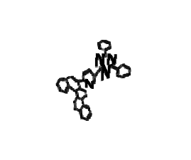 c1ccc(-c2nc(-c3ccccc3)nc(-c3ccc(-c4cc5ccccc5c5c4ccc4c6ccccc6ccc45)nc3)n2)cc1